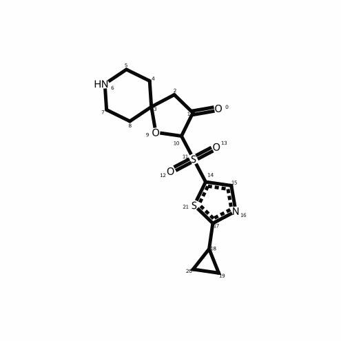 O=C1CC2(CCNCC2)OC1S(=O)(=O)c1cnc(C2CC2)s1